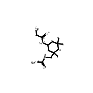 COC(=O)NCC1(C)CC(NC(=O)CO)CC(C)(C)C1